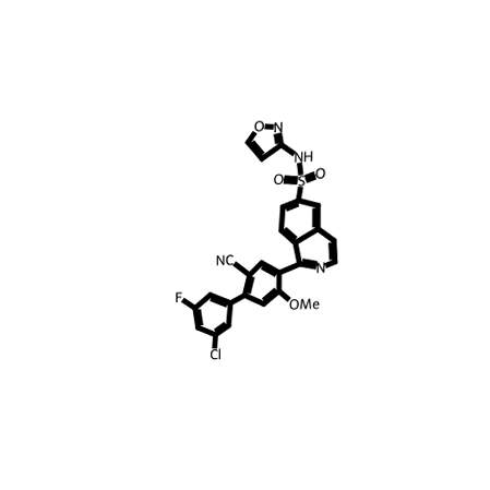 COc1cc(-c2cc(F)cc(Cl)c2)c(C#N)cc1-c1nccc2cc(S(=O)(=O)Nc3ccon3)ccc12